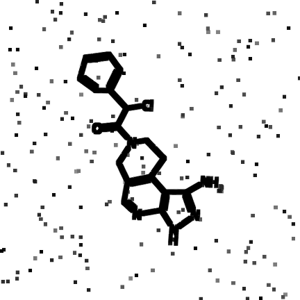 Nc1n[nH]c2ncc3c(c12)CCN(C(=O)C(Cl)c1ccccc1)C3